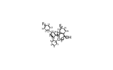 COc1ccccc1-n1nc(-c2ccc(F)cc2)cc1Nc1cc(F)ccc1C(=O)O